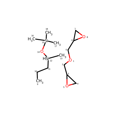 C(OCC1CO1)C1CO1.CCC[SiH](C)O[Si](C)(C)C